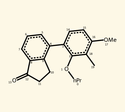 CCCOc1c(-c2cccc3c2CCC3=O)ccc(OC)c1C